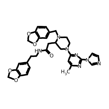 Cc1cc(N2CCN(Cc3ccc4c(c3)OCO4)C(CC(=O)NCCc3ccc4c(c3)OCO4)C2)nc(-n2ccnc2)n1